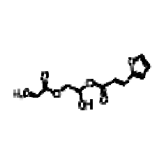 C=CC(=O)OCC(O)OC(=O)C=Cc1ccco1